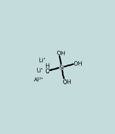 O[Si](O)(O)O.[Al+3].[Li+].[Li+]